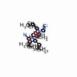 [C-]#[N+]c1cccc(N(C2=C3C=CC4=C5C(=CC=C(C=C2)C35)C(N(c2cccc(C#N)c2)c2ccc(-c3cccc([Si](C)(C)C)c3)cc2-c2cccc([Si](C)(C)C)c2)C=C4)c2ccc(-c3cccc([Si](C)(C)C)c3)cc2-c2cccc([Si](C)(C)C)c2)c1